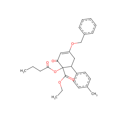 CCCC(=O)OC1(C(=O)OCC)C(=O)C=C(OCc2ccccc2)CC1c1ccc(C)cc1